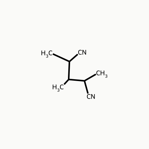 CC(C#N)C(C)C(C)C#N